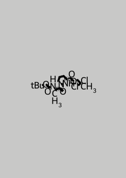 C[C@H](NC(=O)OC(C)(C)C)C(=O)N1CCC[C@@H](C(=O)OCC(C)(Cl)Cl)N1